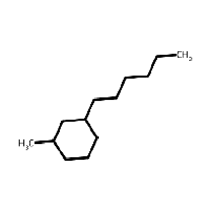 CCCCCCC1CCCC(C)C1